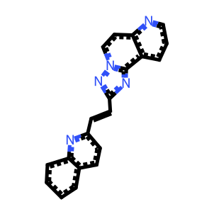 C(=C\c1nc2c3cccnc3ccn2n1)/c1ccc2ccccc2n1